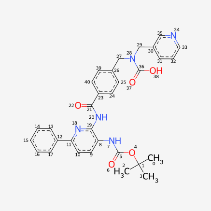 CC(C)(C)OC(=O)Nc1ccc(-c2ccccc2)nc1NC(=O)c1ccc(CN(Cc2cccnc2)C(=O)O)cc1